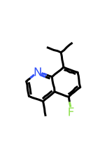 Cc1ccnc2c(C(C)C)ccc(F)c12